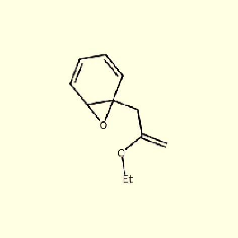 C=C(CC12C=CC=CC1O2)OCC